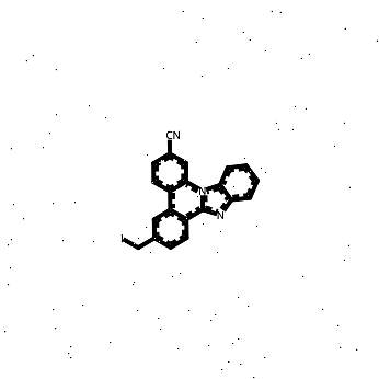 N#Cc1ccc2c3cc(CI)ccc3c3nc4ccccc4n3c2c1